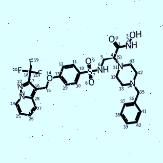 O=C(NO)[C@H](CNS(=O)(=O)c1ccc(OCc2c(C(F)(F)F)nn3ccccc23)cc1)N1CCN(Cc2ccccc2)CC1